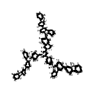 c1ccc2c(c1)oc1cc(-c3ccc4c(c3)c3ccccc3n4-c3ccc(-c4cc(-c5ccc6cc(-n7c8ccccc8c8cc(-c9ccc%10c(c9)oc9ccccc9%10)ccc87)ccc6c5)nc(-c5ccc(-n6c7ccccc7c7cc(-c8ccc9c(c8)oc8ccccc89)ccc76)cc5)n4)cc3)ccc12